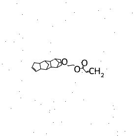 C=CC(=O)OCCOC1C2CCC1C1C3CC(C4C=CCC43)C21